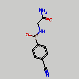 N#Cc1ccc([S+]([O-])NCC(N)=O)cc1